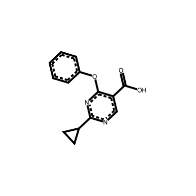 O=C(O)c1cnc(C2CC2)nc1Oc1ccccc1